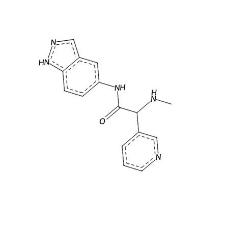 CNC(C(=O)Nc1ccc2[nH]ncc2c1)c1cccnc1